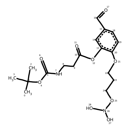 CC(C)(C)OC(=O)NCCC(=O)Oc1cc(C=O)ccc1OCCCON(O)O